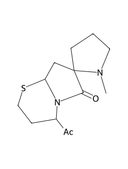 CC(=O)C1CCSC2CC3(CCCN3C)C(=O)N21